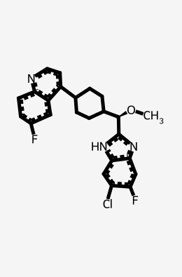 CO[C@@H](c1nc2cc(F)c(Cl)cc2[nH]1)C1CCC(c2ccnc3ccc(F)cc23)CC1